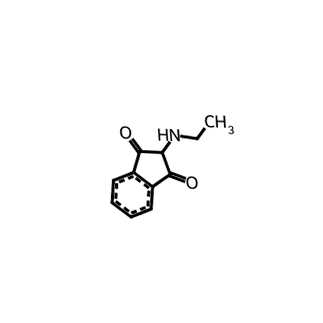 CCNC1C(=O)c2ccccc2C1=O